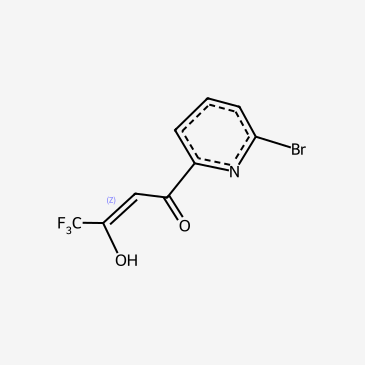 O=C(/C=C(\O)C(F)(F)F)c1cccc(Br)n1